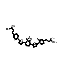 CCCCC(CCCC)CCc1ccc(-c2ccc(-c3ccc(-c4ccc(-c5ccc(CCC(CCCC)CCCC)cc5F)s4)c4nsnc34)s2)c(F)c1